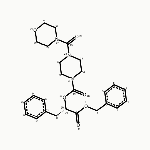 O=C(OCc1ccccc1)[C@H](Cc1ccccc1)OC(=O)N1CCN(C(=O)N2CCOCC2)CC1